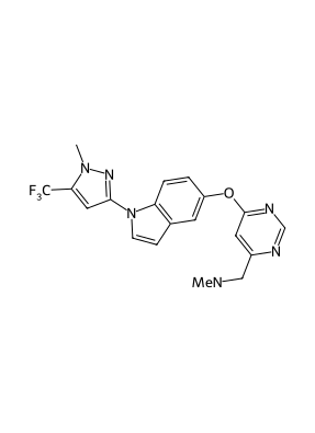 CNCc1cc(Oc2ccc3c(ccn3-c3cc(C(F)(F)F)n(C)n3)c2)ncn1